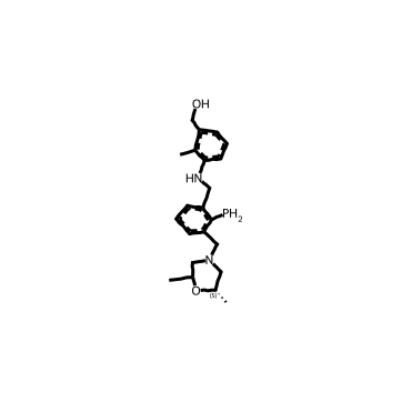 Cc1c(CO)cccc1NCc1cccc(CN2CC(C)O[C@@H](C)C2)c1P